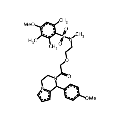 COc1ccc(C2c3cccn3CCN2C(=O)COCCN(C)S(=O)(=O)c2c(C)cc(OC)c(C)c2C)cc1